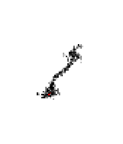 COC(=O)CC1N=C(c2ccc(Cl)cc2)c2c(sc(C(=O)NCCOCCOCCOCCOCCOCCOCCOCCNC(=O)Cn3c(=O)n(C(C)c4ccccn4)c4c5cc(OC)c(-c6c(C)noc6C)cc5ncc43)c2C)-n2c(C)nnc21